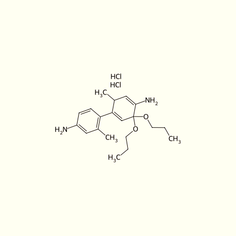 CCCOC1(OCCC)C=C(c2ccc(N)cc2C)C(C)C=C1N.Cl.Cl